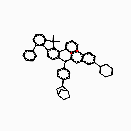 CC1(C)c2cccc(-c3ccccc3)c2-c2ccc(N(c3ccc(C4CC5CCC4C5)cc3)c3ccc4ccc(C5CCCCC5)cc4c3)c(-c3ccccc3)c21